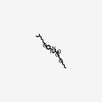 CCCCCOCCCOC(=O)c1cnc(-c2ccc(OCCCCCC(C)CC)cc2)nc1